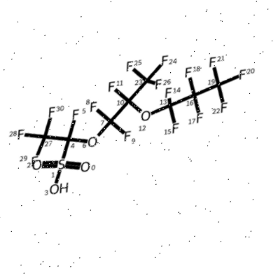 O=S(=O)(O)C(F)(OC(F)(F)C(F)(OC(F)(F)C(F)(F)C(F)(F)F)C(F)(F)F)C(F)(F)F